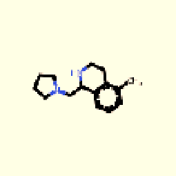 Cc1cccc2c1CCNC2CN1CCCC1